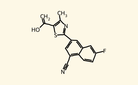 C=C(O)c1sc(-c2cc(C#N)c3ccc(F)cc3c2)nc1C